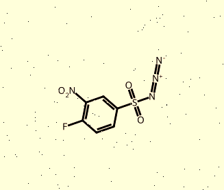 [N-]=[N+]=NS(=O)(=O)c1ccc(F)c([N+](=O)[O-])c1